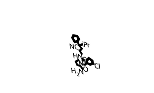 CC(C)C(C#N)(CCCNC(=O)[N@@+]1(Cc2cccc(Cl)c2)CCCC1C(N)=O)c1ccccc1